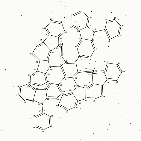 N#Cc1c(-c2ccc3c(c2)c2ccccc2n3-c2ccccc2)c(C#N)c(-n2c3ccccc3c3ccc4c5ccccc5sc4c32)c(-c2ccc3c(c2)c2ccccc2n3-c2ccccc2)c1-n1c2ccccc2c2ccc3c4ccccc4sc3c21